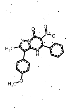 COc1ccc(-c2c(C)nn3c(=O)c([N+](=O)[O-])c(-c4ccccc4)[nH]c23)cc1